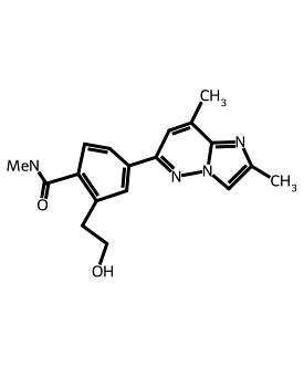 CNC(=O)c1ccc(-c2cc(C)c3nc(C)cn3n2)cc1CCO